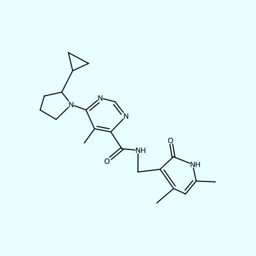 Cc1cc(C)c(CNC(=O)c2ncnc(N3CCCC3C3CC3)c2C)c(=O)[nH]1